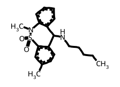 CCCCCNC1c2ccccc2N(C)S(=O)(=O)c2cc(C)ccc21